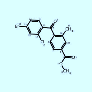 COC(=O)c1ccc(C(=O)c2ccc(Br)cc2Cl)c(C)c1